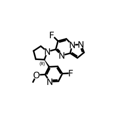 COc1ncc(F)cc1[C@H]1CCCN1c1nc2ccnn2cc1F